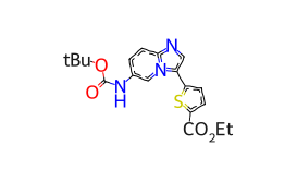 CCOC(=O)c1ccc(-c2cnc3ccc(NC(=O)OC(C)(C)C)cn23)s1